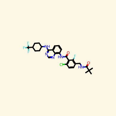 CC(C)(C)C(=O)NCc1ccc(Cl)c(C(=O)Nc2cccc3c(NC4CCC(C(F)(F)F)CC4)ncnc23)c1F